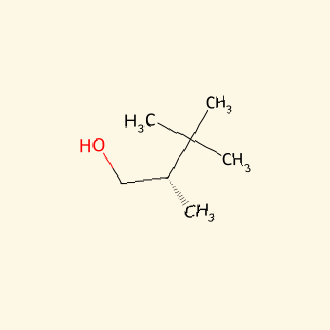 C[C@H](CO)C(C)(C)C